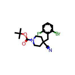 CC(C)(C)OC(=O)N1CCC(C#N)(Cc2c(F)cccc2Br)CC1